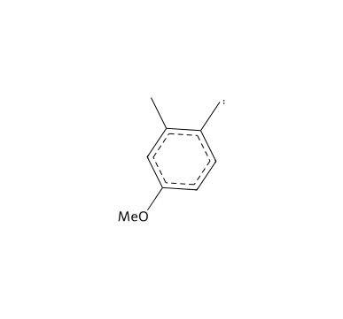 [CH]c1ccc(OC)cc1C